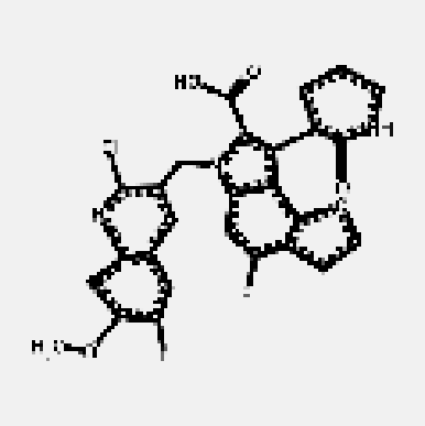 COc1cc2nc(Cl)c(Cn3c(C(=O)O)c(-c4ccc[nH]c4=O)c4c5occc5c(F)cc43)cc2cc1F